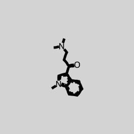 CN(C)CCC(=O)c1cn(C)c2ccccc12